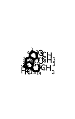 COc1ccc2c(c1OC)[C@@]13CC(C)CC[C@@]1(O)[C@@H]1CC1(C2)C3